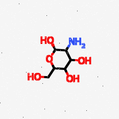 NC1C(O)C(O)C(CO)O[C@H]1O